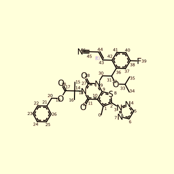 Cc1c(-n2nccn2)sc2c1c(=O)n(C(C)(C)C(=O)OCc1ccccc1)c(=O)n2CC(OC(C)C)c1cc(F)ccc1/C=C/C#N